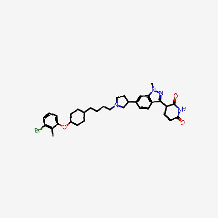 Cc1c(Br)cccc1OC1CCC(CCCCN2CCC(c3ccc4c(C5CCC(=O)NC5=O)nn(C)c4c3)C2)CC1